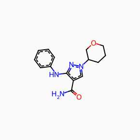 NC(=O)c1cn(C2CCCOC2)nc1Nc1ccccc1